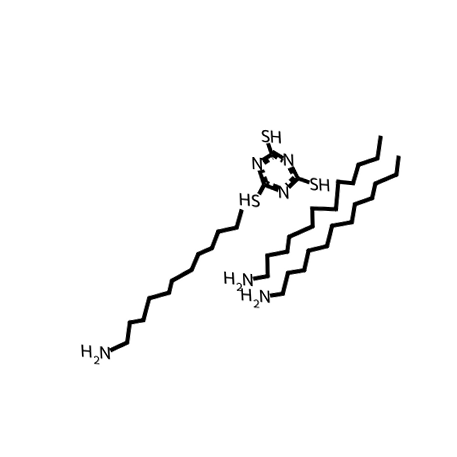 CCCCCCCCCCCCN.CCCCCCCCCCCCN.CCCCCCCCCCCCN.Sc1nc(S)nc(S)n1